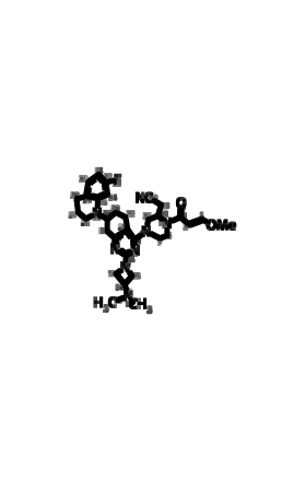 COC=CC(=O)N1CCN(c2nc(N3CC(N(C)C)C3)nc3c2CCC(N2CCCc4ccc(F)cc42)C3)CC1CC#N